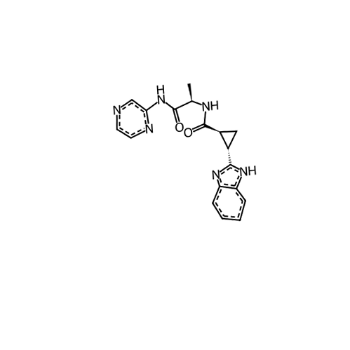 C[C@@H](NC(=O)[C@H]1C[C@@H]1c1nc2ccccc2[nH]1)C(=O)Nc1cnccn1